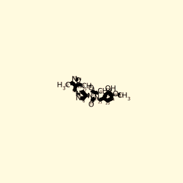 C=C1C(=O)N(c2cnn(Cc3c(C)noc3C)c2)C(=O)N1Cc1ccc(OC)c(O)c1